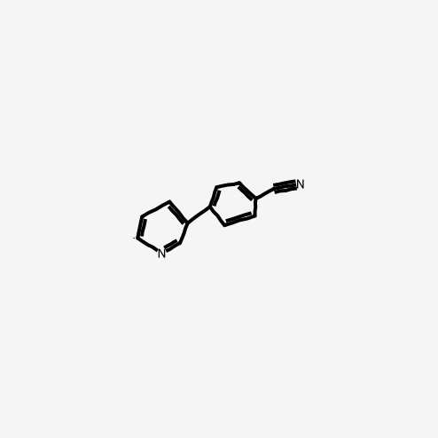 N#Cc1ccc(-c2cc[c]nc2)cc1